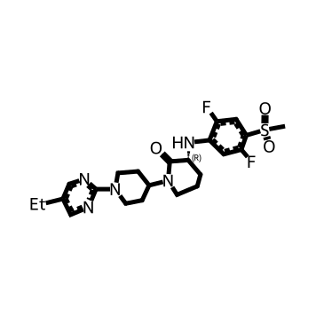 CCc1cnc(N2CCC(N3CCC[C@@H](Nc4cc(F)c(S(C)(=O)=O)cc4F)C3=O)CC2)nc1